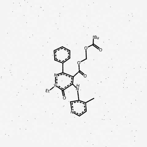 CCn1nc(-c2ccccc2)c(C(=O)OCOC(=O)C(C)(C)C)c(Nc2cnccc2C)c1=O